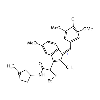 CCNC(C(=O)NC1CCN(C)C1)C1=C(C)/C(=C/c2cc(OC)c(O)c(OC)c2)c2ccc(OC)cc21